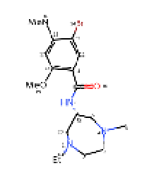 CCN1CCN(C)C[C@@H](NC(=O)c2cc(Br)c(NC)cc2OC)C1